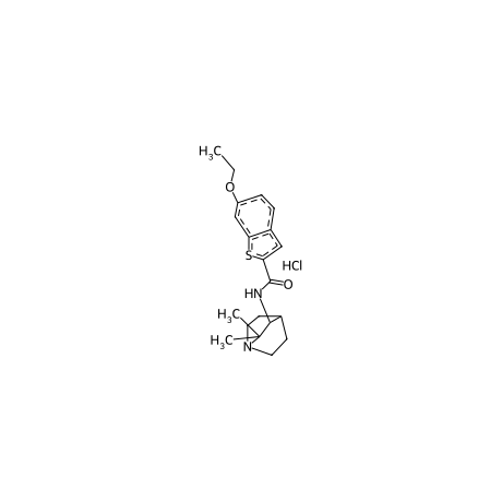 CCOc1ccc2cc(C(=O)NC3C4CCN(CC4)C3(C)C)sc2c1.Cl